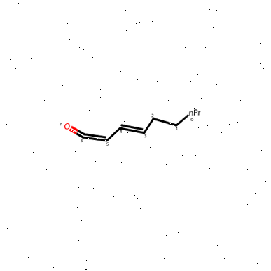 CCCCCC=CC=C=O